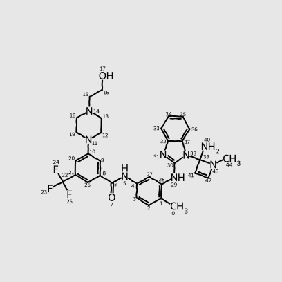 Cc1ccc(NC(=O)c2cc(N3CCN(CCO)CC3)cc(C(F)(F)F)c2)cc1Nc1nc2ccccc2n1C1(N)C=CN1C